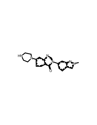 Cn1cc2ccc(-n3cnc4cc(N5CCNCC5)ccc4c3=O)cc2n1